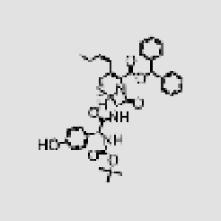 CC/C=C\C1=C(C(=O)OC(c2ccccc2)c2ccccc2)N2C(=O)[C@@H](NC(=O)C(NC(=O)OC(C)(C)C)c3ccc(O)cc3)[C@@H]2SC1